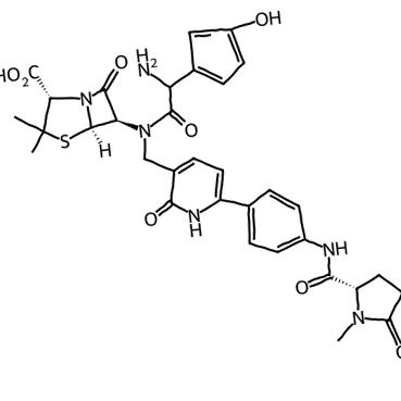 CN1C(=O)CC[C@H]1C(=O)Nc1ccc(-c2ccc(CN(C(=O)C(N)c3ccc(O)cc3)[C@@H]3C(=O)N4[C@@H]3SC(C)(C)[C@@H]4C(=O)O)c(=O)[nH]2)cc1